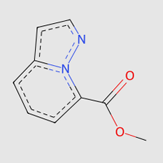 COC(=O)c1cccc2ccnn12